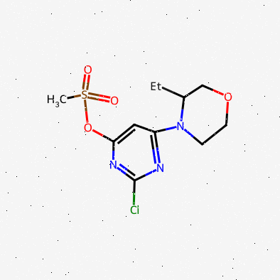 CCC1COCCN1c1cc(OS(C)(=O)=O)nc(Cl)n1